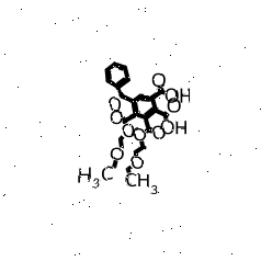 CCOCCOC(=O)c1c(C(=O)c2ccccc2)cc(C(=O)O)c(C(=O)O)c1C(=O)OCCOCC